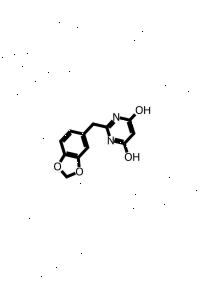 Oc1cc(O)nc(Cc2ccc3c(c2)OCO3)n1